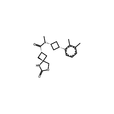 Cc1cccc([C@H]2C[C@@H](N(C)C(=O)[C@H]3C[C@]4(COC(=O)N4)C3)C2)c1C